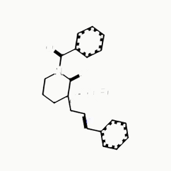 CCOC(=O)[C@]1(C/C=C/c2ccccc2)CCCN(C(=O)c2ccccc2)C1=O